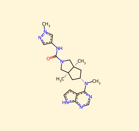 CN(c1ncnc2[nH]ccc12)[C@@H]1C[C@@]2(C)CN(C(=O)Nc3cnn(C)c3)C[C@@]2(C)C1